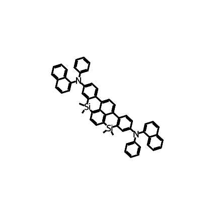 C[Si]1(C)c2cc(N(c3ccccc3)c3cccc4ccccc34)ccc2-c2ccc3c4c(ccc1c24)[Si](C)(C)c1cc(N(c2ccccc2)c2cccc4ccccc24)ccc1-3